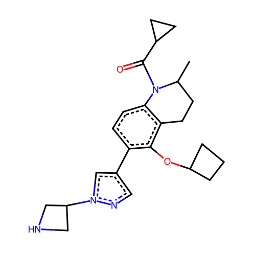 CC1CCc2c(ccc(-c3cnn(C4CNC4)c3)c2OC2CCC2)N1C(=O)C1CC1